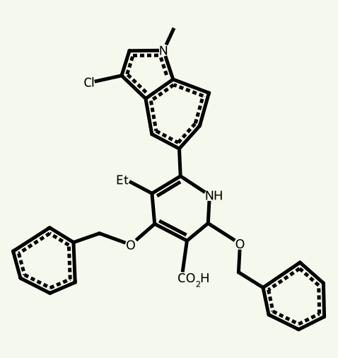 CCC1=C(c2ccc3c(c2)c(Cl)cn3C)NC(OCc2ccccc2)C(C(=O)O)=C1OCc1ccccc1